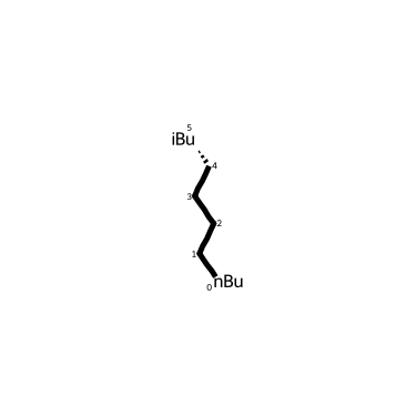 CCCCC[CH]CC[C@@H](C)CC